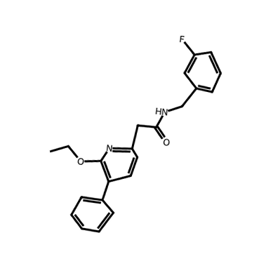 CCOc1nc(CC(=O)NCc2cccc(F)c2)ccc1-c1ccccc1